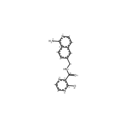 Nc1nccc2cc(CNC(=O)c3nccnc3Cl)ccc12